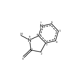 C=C1Cc2cccnc2N1C